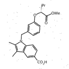 COC(=O)[C@H](Oc1cccc(Cn2c(C)c(C)c3cc(C(=O)O)ccc32)c1)C(C)C